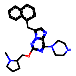 CN1CCCC1COc1nc(N2CCNCC2)c2ncc(Cc3cccc4ccccc34)n2n1